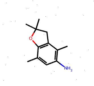 Cc1cc(N)c(C)c2c1OC(C)(C)C2